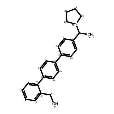 CC(c1ccc(-c2ccc(-c3ccccc3CO)cc2)cc1)N1CCCC1